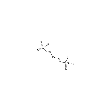 O=S(=O)(F)C=COC=CS(=O)(=O)F